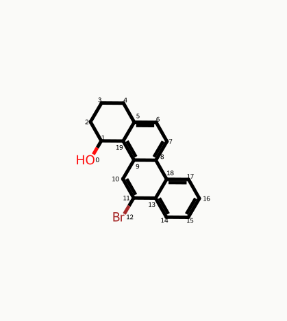 OC1CCCc2ccc3c(cc(Br)c4ccccc43)c21